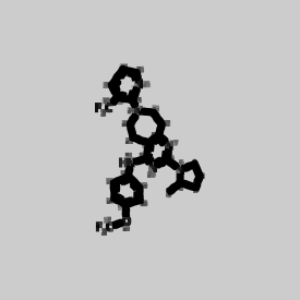 CC1CCCN1c1nc2c(c(Nc3ccc(OC(F)(F)F)cc3)n1)CCN(c1ncccc1C(F)(F)F)CC2